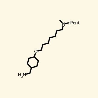 CCCCCN(C)CCCCCCCOC1CCC(CN)CC1